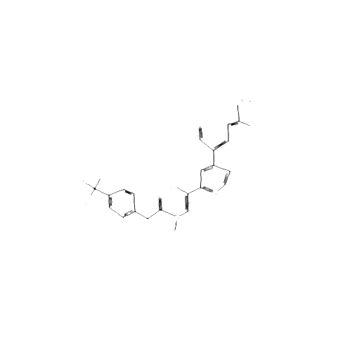 C=C/C(=C\C=C(/C)OC)c1ccnc(/C(C)=C/N(C)C(=O)Cc2ccc(C(C)(C)N)cc2)c1